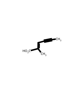 CC#CC=C(C)C(=O)O